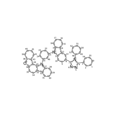 c1ccc(-c2nnc(-c3ccc4c(c3)c3ccccc3n4-c3cccc(-n4c5ccccc5c5ccc6oc7ccccc7c6c54)c3)n2-c2ccccc2)cc1